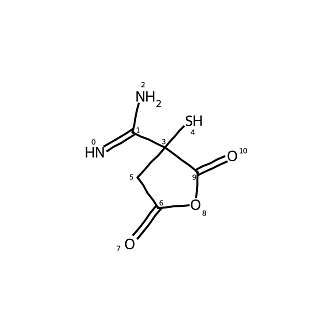 N=C(N)C1(S)CC(=O)OC1=O